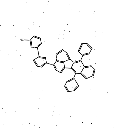 N#Cc1cccc(-c2cccc(-c3ccc4c5c(cccc35)-c3c-4c(-c4ccccc4)c4ccccc4c3-c3ccccc3)c2)c1